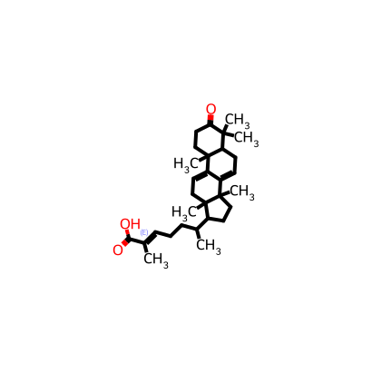 C/C(=C\CCC(C)C1CCC2(C)C3=CCC4C(C)(C)C(=O)CCC4(C)C3=CCC12C)C(=O)O